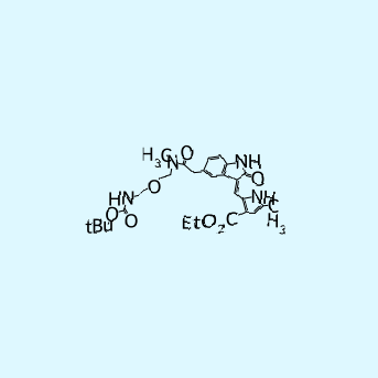 CCOC(=O)c1cc(C)[nH]c1/C=C1\C(=O)Nc2ccc(CC(=O)N(C)CCOCCNC(=O)OC(C)(C)C)cc21